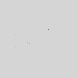 CS(=O)(=O)c1ncc(Cl)c(C(=O)Nc2c(Cl)cccc2C#N)n1